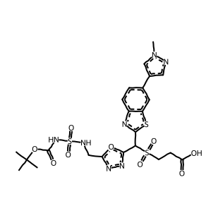 Cn1cc(-c2ccc3nc(C(c4nnc(CNS(=O)(=O)NC(=O)OC(C)(C)C)o4)S(=O)(=O)CCC(=O)O)sc3c2)cn1